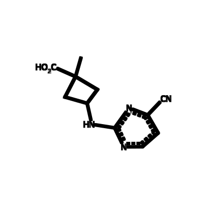 CC1(C(=O)O)CC(Nc2nccc(C#N)n2)C1